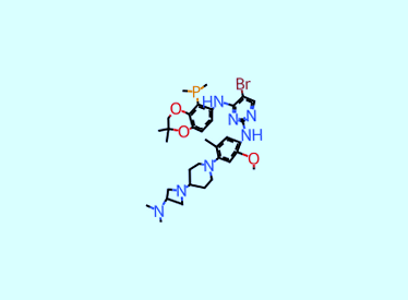 COc1cc(N2CCC(N3CC(N(C)C)C3)CC2)c(C)cc1Nc1ncc(Br)c(Nc2ccc3c(c2P(C)C)OCC(C)(C)O3)n1